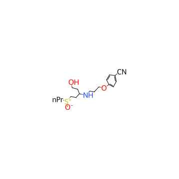 CCC[S+]([O-])CCC(CCO)NCCCOc1ccc(C#N)cc1